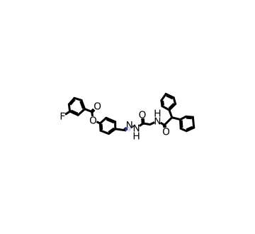 O=C(CNC(=O)C(c1ccccc1)c1ccccc1)N/N=C/c1ccc(OC(=O)c2cccc(F)c2)cc1